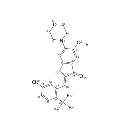 COc1cc2c(cc1N1CCOCC1)C/C(=C\c1cc(Cl)ccc1C(F)(F)F)C2=O